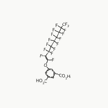 O=C(O)c1cc(OC(F)=C(F)C(F)(F)C(F)(F)C(F)(F)C(F)(F)C(F)(F)C(F)(F)C(F)(F)F)cc(C(=O)O)c1